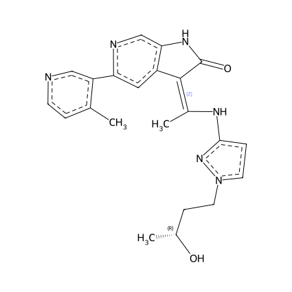 C/C(Nc1ccn(CC[C@@H](C)O)n1)=C1/C(=O)Nc2cnc(-c3cnccc3C)cc21